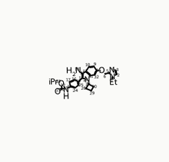 CCn1ccnc1COc1ccc2c(N)c(-c3ccc(NC(=O)OC(C)C)cc3)n(C3CCC3)c2c1